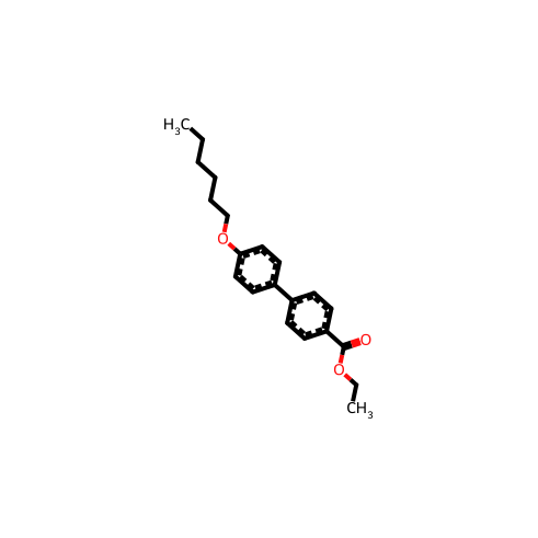 CCCCCCOc1ccc(-c2ccc(C(=O)OCC)cc2)cc1